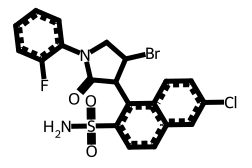 NS(=O)(=O)c1ccc2cc(Cl)ccc2c1C1C(=O)N(c2ccccc2F)CC1Br